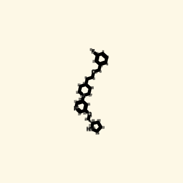 Fc1cccc(COCCC2CCN(c3cncc(OC[C@@H]4CCCN4)c3)CC2)c1